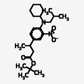 CC(C)CN(c1ccc(C(C)CC(=O)OC(C)(C)C)cc1[N+](=O)[O-])C1CCCCC1